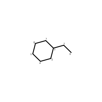 CCC1[CH]CC[CH]C1